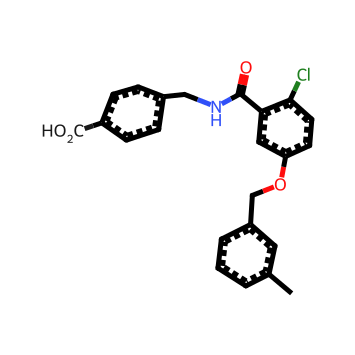 Cc1cccc(COc2ccc(Cl)c(C(=O)NCc3ccc(C(=O)O)cc3)c2)c1